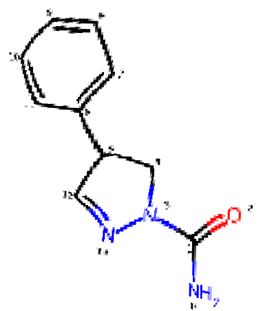 NC(=O)N1CC(c2ccccc2)C=N1